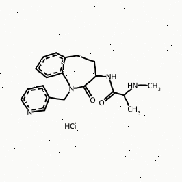 CNC(C)C(=O)NC1CCc2ccccc2N(Cc2cccnc2)C1=O.Cl